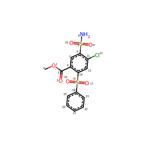 COC(=O)c1cc(S(N)(=O)=O)c(Cl)cc1S(=O)(=O)c1ccccc1